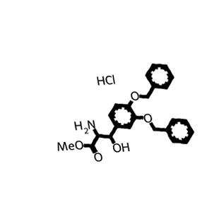 COC(=O)C(N)C(O)c1ccc(OCc2ccccc2)c(OCc2ccccc2)c1.Cl